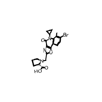 Cc1c(Br)ccc2c3oc(CN4CCC[C@H]4C(=O)O)nc3c(=O)n(C3CC3)c12